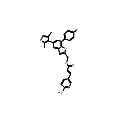 Cc1noc(C)c1-c1cc(-c2ccc(F)cc2)c2oc(CNC(=O)C=Cc3ccc(N)nc3)cc2c1